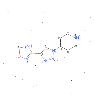 c1c(C2=NOCN2)nnn1C1CCNCC1